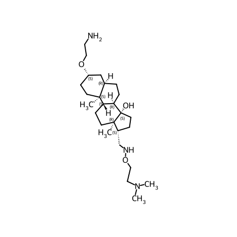 CN(C)CCONC[C@H]1CC[C@]2(O)[C@@H]3CC[C@@H]4C[C@@H](OCCN)CC[C@]4(C)[C@H]3CC[C@]12C